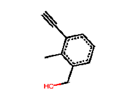 C#Cc1cccc([CH]O)c1C